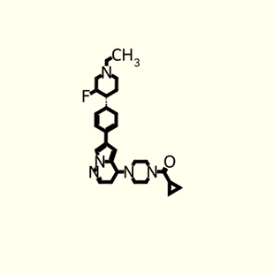 CCN1CC[C@H](C2C=CC(c3cc4n(c3)N=CCC4N3CCN(C(=O)C4CC4)CC3)=CC2)C(F)C1